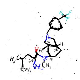 CC(C)C[C@H](N)C(=O)N(C)[C@@H]1CC[C@H]2CN(Cc3ccc(C(F)(F)F)cc3)C[C@H]21